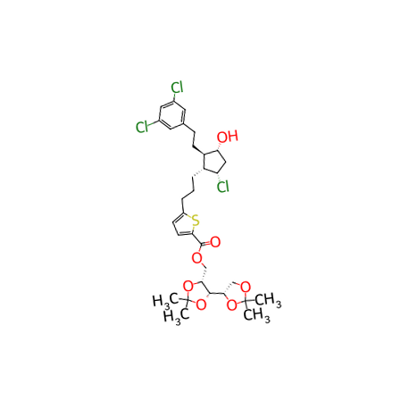 CC1(C)OC[C@@H]([C@@H]2OC(C)(C)O[C@@H]2COC(=O)c2ccc(CCC[C@@H]3[C@@H](CCc4cc(Cl)cc(Cl)c4)[C@H](O)C[C@@H]3Cl)s2)O1